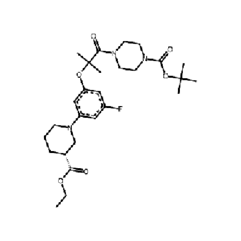 CCOC(=O)[C@@H]1CCCN(c2cc(F)cc(OC(C)(C)C(=O)N3CCN(C(=O)OC(C)(C)C)CC3)c2)C1